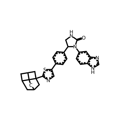 O=C1NCC(c2ccc(-c3cnc(C45CC6CC7CC(C4)C75C6)s3)cc2)N1c1ccc2[nH]cnc2c1